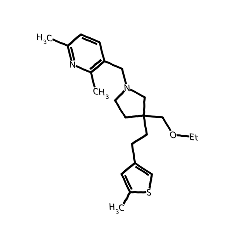 CCOCC1(CCc2csc(C)c2)CCN(Cc2ccc(C)nc2C)C1